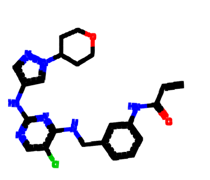 C=CC(=O)Nc1cccc(CNc2nc(Nc3cnn(C4CCOCC4)c3)ncc2Cl)c1